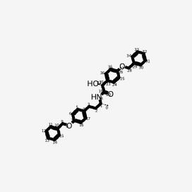 C[C@H](CCc1ccc(OCc2ccccc2)cc1)NC(=O)[C@H](O)c1ccc(OCc2ccccc2)cc1